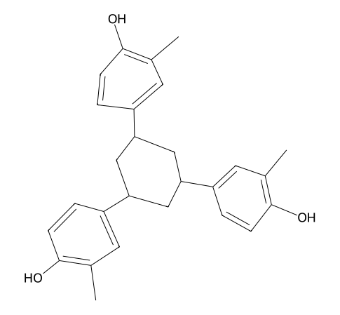 Cc1cc(C2CC(c3ccc(O)c(C)c3)CC(c3ccc(O)c(C)c3)C2)ccc1O